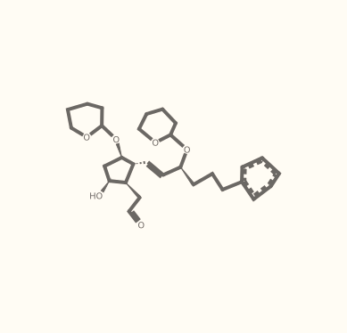 O=CC[C@@H]1[C@@H](C=C[C@H](CCCc2ccccc2)OC2CCCCO2)[C@H](OC2CCCCO2)C[C@@H]1O